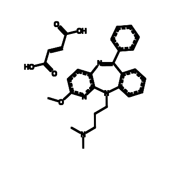 COc1ccc2c(n1)N(CCCN(C)C)c1ccccc1C(c1ccccc1)=N2.O=C(O)/C=C/C(=O)O